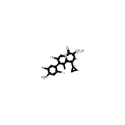 Cc1c(-c2cc(F)c(N)cc2F)c(F)cn2c(=O)c(C(=O)O)cc(C3CC3)c12